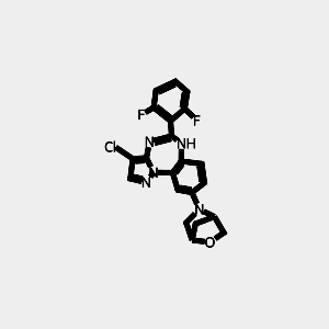 Fc1cccc(F)c1C1=Nc2c(Cl)cnn2-c2cc(N3CC4CC3CO4)ccc2N1